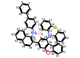 c1ccc(-c2ccc(N3B4c5cccc6c5N(c5ccccc5S6)c5c4c(cc4oc6ccccc6c54)-c4ccc5ccccc5c43)cc2)cc1